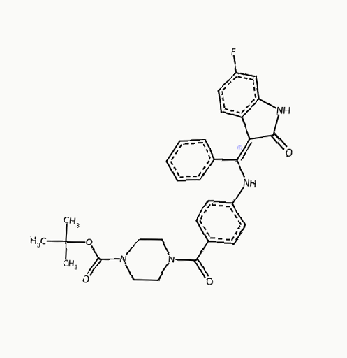 CC(C)(C)OC(=O)N1CCN(C(=O)c2ccc(N/C(=C3\C(=O)Nc4cc(F)ccc43)c3ccccc3)cc2)CC1